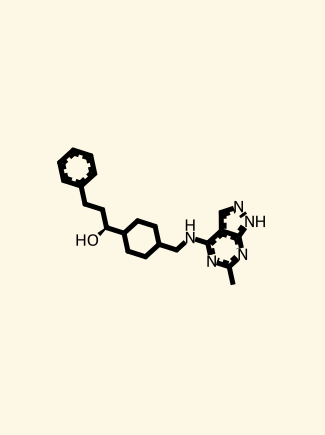 Cc1nc(NCC2CCC([C@@H](O)CCc3ccccc3)CC2)c2cn[nH]c2n1